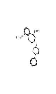 Cc1cccc2c1CC[C@@H](CN1CCC(c3ccccc3)CC1)C[C@H]2O